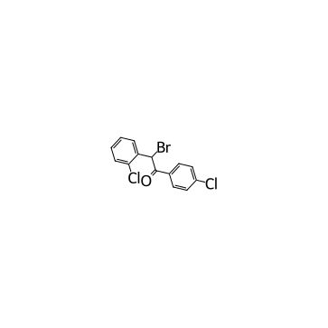 O=C(c1ccc(Cl)cc1)C(Br)c1ccccc1Cl